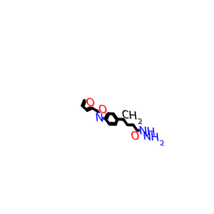 C=C(CCC(=O)NN)c1ccc2nc(-c3ccco3)oc2c1